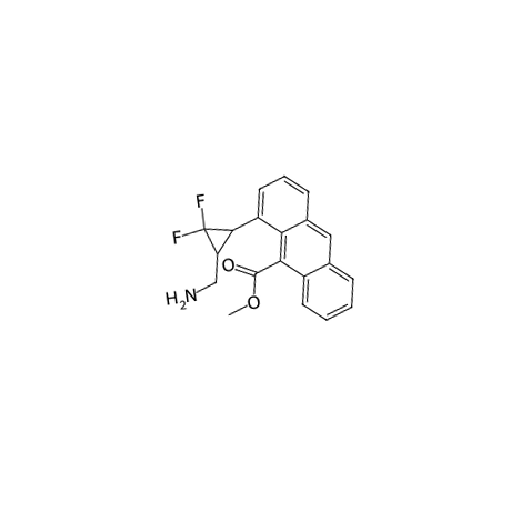 COC(=O)c1c2ccccc2cc2cccc(C3C(CN)C3(F)F)c12